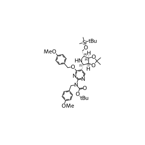 COc1ccc(COc2nc(N(Cc3ccc(OC)cc3)C(=O)OC(C)(C)C)ncc2[C@@H]2N[C@H](CO[Si](C)(C)C(C)(C)C)[C@H]3OC(C)(C)O[C@H]32)cc1